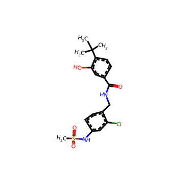 CC(C)(C)c1ccc(C(=O)NCc2ccc(NS(C)(=O)=O)cc2Cl)cc1O